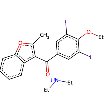 CCNCC.CCOc1c(I)cc(C(=O)c2c(C)oc3ccccc23)cc1I